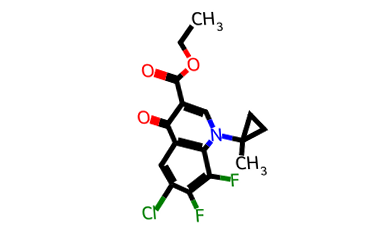 CCOC(=O)c1cn(C2(C)CC2)c2c(F)c(F)c(Cl)cc2c1=O